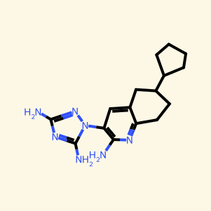 Nc1nc(N)n(-c2cc3c(nc2N)CCC(C2CCCC2)C3)n1